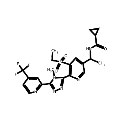 CCS(=O)(=O)c1cc(C(C)NC(=O)C2CC2)cnc1-c1nnc(-c2cc(C(F)(F)F)ccn2)n1C